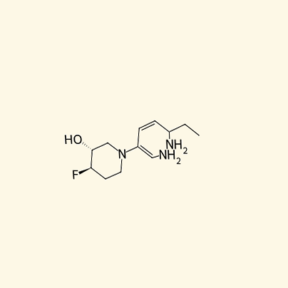 CCC(N)/C=C\C(=C/N)N1CC[C@@H](F)[C@H](O)C1